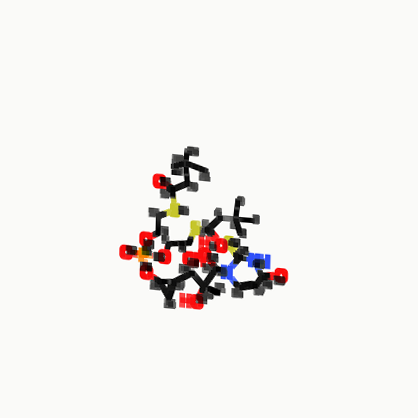 CC(C)(C)CC(=O)SCCOP(=O)(OCCSC(=O)CC(C)(C)C)OC1C=C1[C@H](O)[C@@](C)(O)[C@@H](O)n1ccc(=O)[nH]c1=S